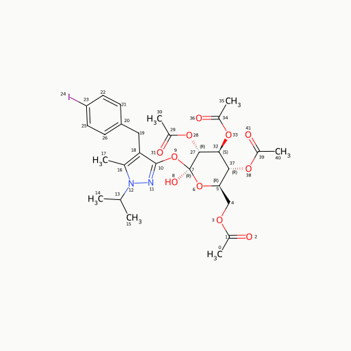 CC(=O)OC[C@H]1O[C@@](O)(Oc2nn(C(C)C)c(C)c2Cc2ccc(I)cc2)[C@H](OC(C)=O)[C@@H](OC(C)=O)[C@@H]1OC(C)=O